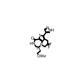 COCC[C@H]1CNC(=O)c2sc(-c3cn[nH]c3)c3c2N1CC(F)(F)C3